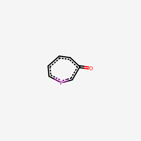 O=c1ccccpc1